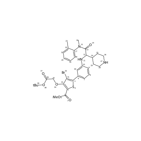 COC(=O)c1sc(-c2cccc(NC(C(=O)N(C)c3ccccc3C)C3CCNCC3)c2)c(Br)c1OCC(=O)OC(C)(C)C